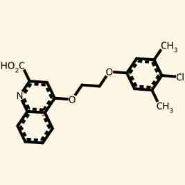 Cc1cc(OCCOc2cc(C(=O)O)nc3ccccc23)cc(C)c1Cl